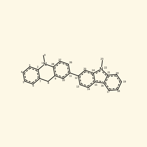 CN1c2ccccc2Cc2cc(-c3ccc4c5ccccc5n(C)c4c3)ccc21